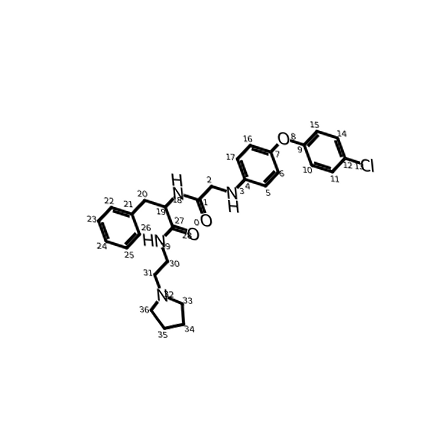 O=C(CNc1ccc(Oc2ccc(Cl)cc2)cc1)NC(Cc1ccccc1)C(=O)NCCN1CCCC1